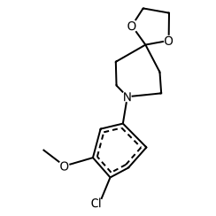 COc1cc(N2CCC3(CC2)OCCO3)ccc1Cl